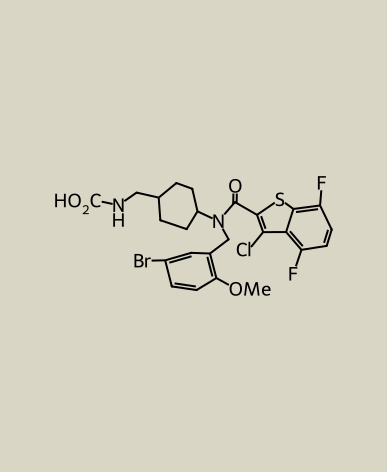 COc1ccc(Br)cc1CN(C(=O)c1sc2c(F)ccc(F)c2c1Cl)C1CCC(CNC(=O)O)CC1